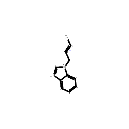 CC/C=C/Cn1[c]nc2ccccc21